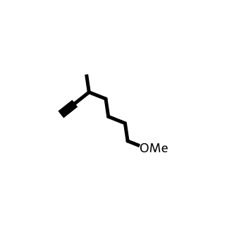 C#CC(C)CCCCO[CH2]